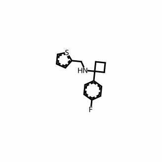 Fc1ccc(C2(NCc3cccs3)CCC2)cc1